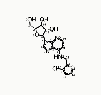 OC[C@H]1OC(n2cnc3c(NCc4occc4Cl)ncnc32)[C@@H](O)[C@@H]1O